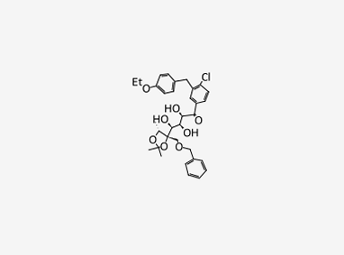 CCOc1ccc(Cc2cc(C(=O)[C@H](O)[C@@H](O)[C@H](O)[C@]3(COCc4ccccc4)OC(C)(C)O[C@@H]3C)ccc2Cl)cc1